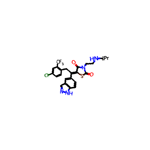 CC(C)NCCN1C(=O)S/C(=C(/Cc2ccc(Cl)cc2C(F)(F)F)c2ccc3[nH]ncc3c2)C1=O